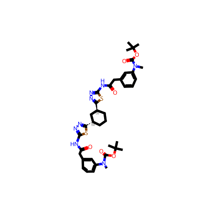 CN(C(=O)OC(C)(C)C)c1cccc(CC(=O)Nc2nnc([C@H]3CCC[C@H](c4nnc(NC(=O)Cc5cccc(N(C)C(=O)OC(C)(C)C)c5)s4)C3)s2)c1